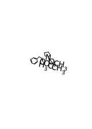 CC(C)(C)OC(=O)N1CCC[C@H]1C(=O)Cc1ccccc1